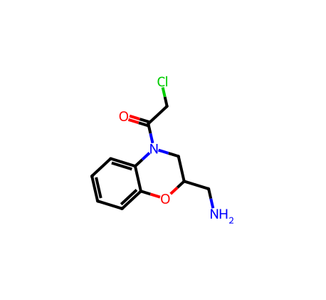 NCC1CN(C(=O)CCl)c2ccccc2O1